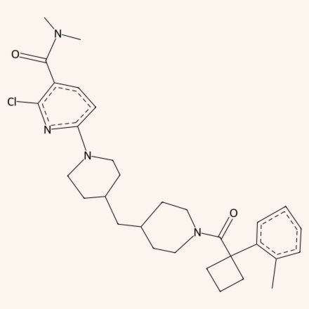 Cc1ccccc1C1(C(=O)N2CCC(CC3CCN(c4ccc(C(=O)N(C)C)c(Cl)n4)CC3)CC2)CCC1